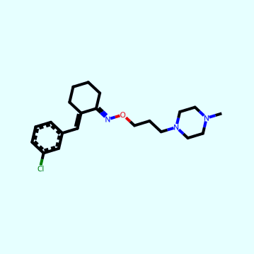 CN1CCN(CCCON=C2CCCCC2=Cc2cccc(Cl)c2)CC1